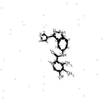 Cc1c(C#N)cnc(C(=O)Nc2ccc3[nH]nc(-c4cnoc4)c3c2)c1C